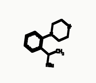 CCCCC(C)c1ccccc1N1CC[N]CC1